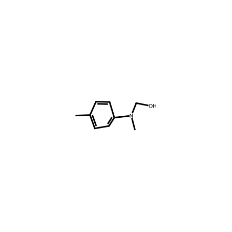 Cc1ccc(N(C)CO)cc1